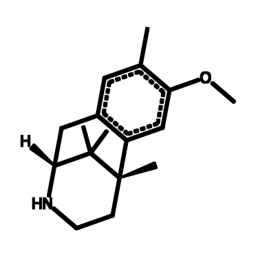 COc1cc2c(cc1C)C[C@H]1NCC[C@]2(C)C1(C)C